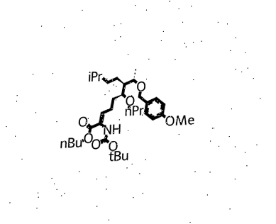 CCCCOC(=O)/C(=C/CC[C@H](OCCC)[C@@H](CCC(C)C)[C@H](C)OCc1ccc(OC)cc1)NC(=O)OC(C)(C)C